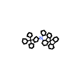 c1ccc(N(c2ccc(C(c3ccccc3)(c3ccccc3)c3ccccc3)cc2)c2cccc3c2-c2ccccc2C32c3ccccc3-c3ccccc32)cc1